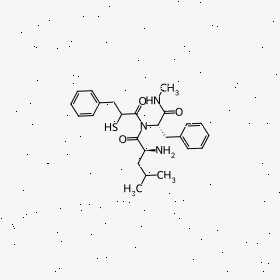 CNC(=O)[C@H](Cc1ccccc1)N(C(=O)C(S)Cc1ccccc1)C(=O)[C@@H](N)CC(C)C